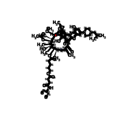 CCOc1c(C)c(O)c2c(=O)c3c4oc5cc(N6CCN(CC(C)C)CC6)cc(O)c5nc-4c2c1C(=O)O/C=C/[C@H](OC)[C@@H](C)[C@@H](OC(C)=O)[C@H](C)[C@H](O)[C@H](C)[C@@H](OC(=O)CCCCOC(=O)CCC(=O)NC(P=O)P=O)[C@@H](C)/C=C/C=C(/C)C(=O)N3